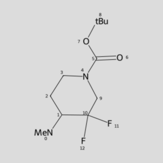 CNC1CCN(C(=O)OC(C)(C)C)CC1(F)F